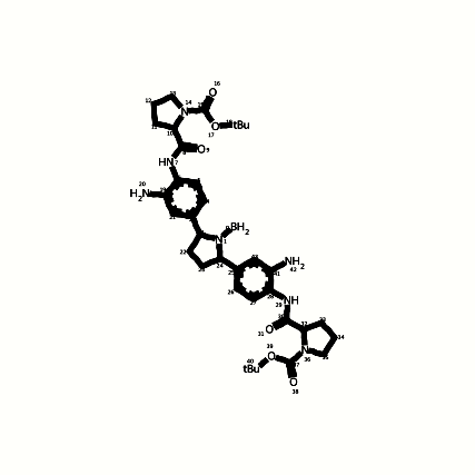 BN1C(c2ccc(NC(=O)C3CCCN3C(=O)OC(C)(C)C)c(N)c2)CCC1c1ccc(NC(=O)C2CCCN2C(=O)OC(C)(C)C)c(N)c1